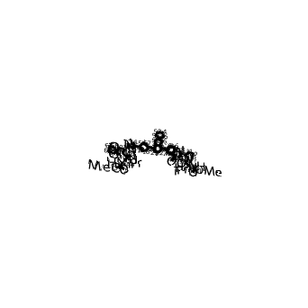 COC(=O)N[C@H](C(=O)N1CC2(C[C@H]1c1ncc(-c3ccc(-c4ccc(-c5ccc6nc([C@@H]7CCCN7C(=O)[C@@H](NC(=O)OC)C(C)C)[nH]c(=O)c6c5)c5c4CC4(CCCC4)C5)cc3)[nH]1)OCCO2)C(C)C